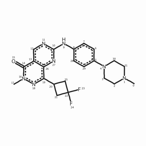 CN1CCN(c2ccc(Nc3ncc4c(=O)n(C)nc(C5CC(F)(F)C5)c4n3)cc2)CC1